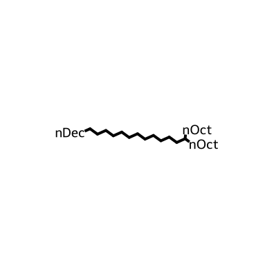 CCCCCCCCCCCCCCCCCCCCCCC(CCCCCCCC)CCCCCCCC